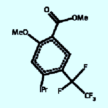 COC(=O)c1cc(C(F)(F)C(F)(F)F)c(C(C)C)cc1OC